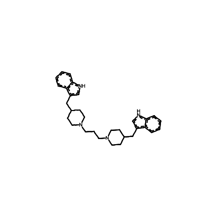 c1ccc2c(CC3CCN(CCCN4CCC(Cc5c[nH]c6ccccc56)CC4)CC3)c[nH]c2c1